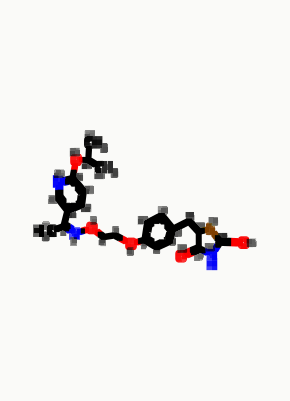 C/C(=N/OCCOc1ccc(CC2SC(=O)NC2=O)cc1)c1ccc(OC(C)C)nc1